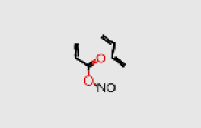 C=CC(=O)ON=O.C=CC=C